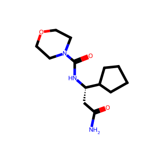 NC(=O)C[C@H](NC(=O)N1CCOCC1)C1CCCC1